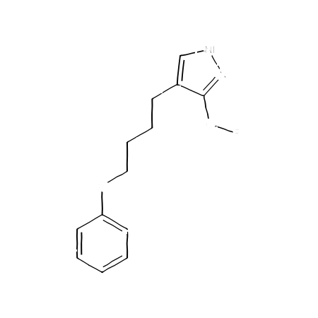 CCOc1n[nH]cc1CCCCOc1[c]cccc1